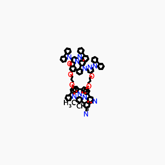 Cc1c(C)c(-n2c3ccccc3c3ccccc32)c(-n2c3ccc(OCCCOc4cc(-n5c6ccccc6c6ccccc65)nc(-n5c6ccccc6c6ccccc65)c4)cc3c3cc(OCCCOc4ccc5c(c4)oc4c(-n6c7ccccc7c7ccccc76)cc(-n6c7ccccc7c7ccccc76)nc45)ccc32)c(-n2c3ccccc3c3ccccc32)c1-c1cc(C#N)cc(C#N)c1